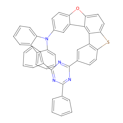 c1ccc(-c2nc(-c3ccccc3)nc(-c3ccc4sc5ccc6oc7ccc(-n8c9ccccc9c9ccccc98)cc7c6c5c4c3)n2)cc1